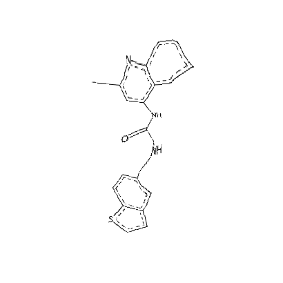 Cc1cc(NC(=O)Nc2ccc3sccc3c2)c2ccccc2n1